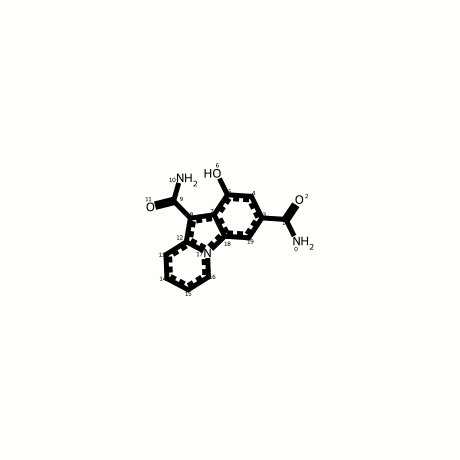 NC(=O)c1cc(O)c2c(C(N)=O)c3ccccn3c2c1